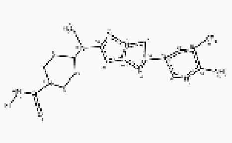 CCNC(=O)N1CCC(N(C)c2nn3cc(-c4cnc(N)c(C(F)(F)F)c4)nc3s2)CC1